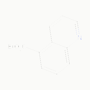 CCOC(=O)c1cccc2ncccc12